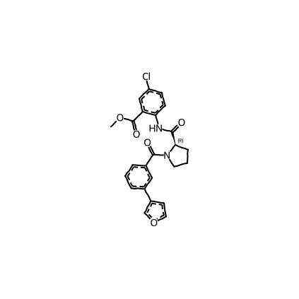 COC(=O)c1cc(Cl)ccc1NC(=O)[C@H]1CCCN1C(=O)c1cccc(-c2ccoc2)c1